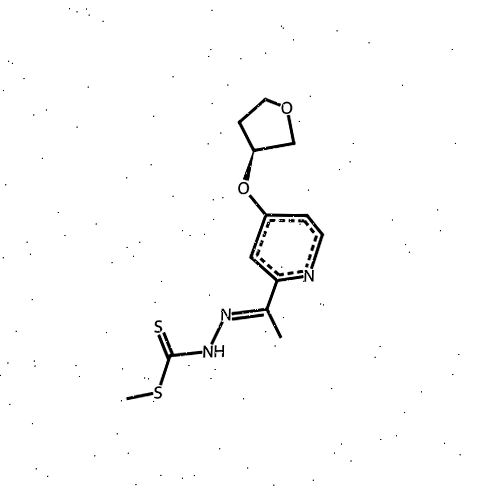 CSC(=S)N/N=C(\C)c1cc(O[C@H]2CCOC2)ccn1